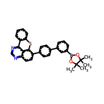 CC1(C)OB(c2cccc(-c3ccc(-c4ccc5ncnc6c5c4Sc4ccccc4-6)cc3)c2)OC1(C)C